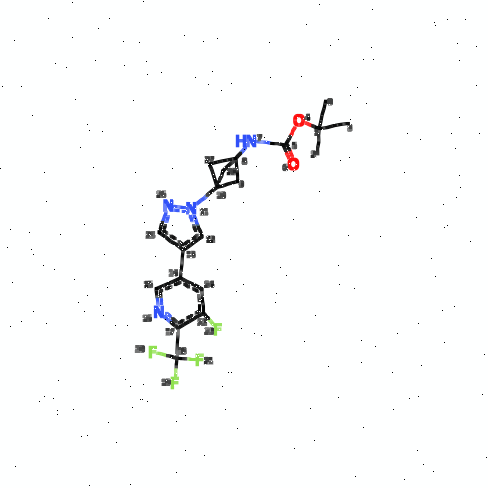 CC(C)(C)OC(=O)NC12CC(n3cc(-c4cnc(C(F)(F)F)c(F)c4)cn3)(C1)C2